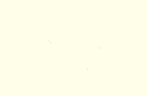 CCC1C(C(C)C)CC2(CN2)CC12CC2